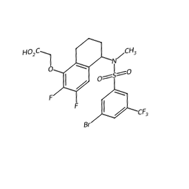 CN(C1CCCc2c1cc(F)c(F)c2OCC(=O)O)S(=O)(=O)c1cc(Br)cc(C(F)(F)F)c1